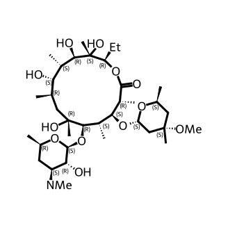 CC[C@H]1OC(=O)[C@H](C)[C@@H](O[C@H]2C[C@@](C)(OC)C[C@H](C)O2)[C@H](C)[C@@H](O[C@@H]2O[C@H](C)C[C@H](NC)[C@H]2O)[C@](C)(O)C[C@@H](C)[C@H](O)[C@H](C)[C@@H](O)[C@]1(C)O